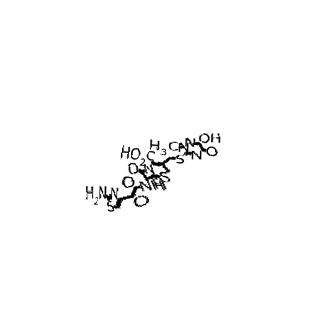 Cn1nc(O)c(=O)nc1SCC1=C(C(=O)O)N2C(=O)C(NC(=O)C(=O)c3csc(N)n3)[C@@H]2SC1